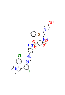 Cc1cc(-c2cc(F)cc(N3CCN(c4ccc(NS(=O)(=O)C5=CC[C@@](NC(CCN6CCC(O)CC6)CSc6ccccc6)(S(C)(=O)=O)C=C5)cc4)CC3)c2)c(-c2ccc(Cl)cc2)n1C(C)C